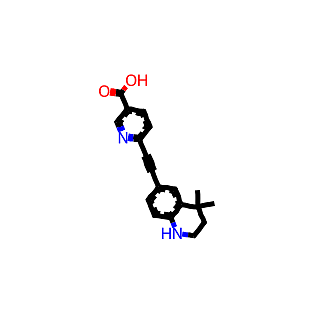 CC1(C)CCNc2ccc(C#Cc3ccc(C(=O)O)cn3)cc21